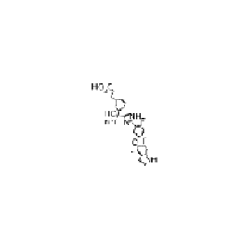 CCCC(O)(c1cccc(CCC(=O)O)c1)c1c[nH]c(-c2cc(Oc3c(F)cc4[nH]ccc4c3C)ccc2F)n1